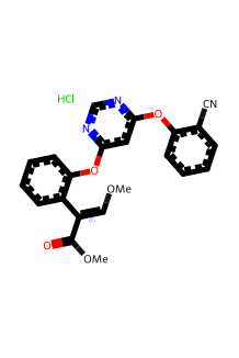 CO/C=C(/C(=O)OC)c1ccccc1Oc1cc(Oc2ccccc2C#N)ncn1.Cl